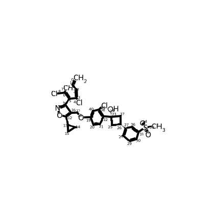 C=C/C=C(Cl)\C(=C(/C)Cl)c1noc(C2CC2)c1COc1ccc([C@]2(O)C[C@@H](c3cccc(S(C)(=O)=O)c3)C2)c(Cl)c1